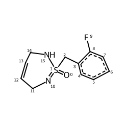 O=S1(Cc2ccccc2F)=NCC=CCN1